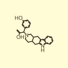 C=C(O)C(c1cccc(O)c1)N1CCC2Cc3[nH]c4ccccc4c3CC2C1